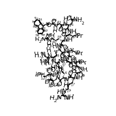 CC[C@H](C)[C@H](NC(=O)[C@H](CCCNC(=N)N)NC(=O)[C@H](CCCNC(=N)N)NC(=O)[C@H](C)NC(=O)[C@@H](NC(=O)[C@H](C)NC(=O)[C@H](CC(C)C)NC(=O)[C@H](CCCNC(=N)N)NC(=O)[C@H](CCCNC(=N)N)NC(=O)[C@H](CC(C)C)NC(=O)[C@H](CC(N)=O)NC(=O)CNC(=O)OCC1c2ccccc2-c2ccccc21)C(C)C)C(=O)N[C@@H](CC(C)C)C(=O)O